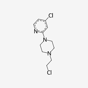 ClCCN1CCN(c2cc(Cl)ccn2)CC1